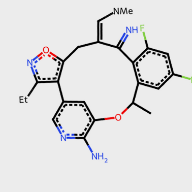 CCc1noc2c1-c1cnc(N)c(c1)OC(C)c1cc(F)cc(F)c1C(=N)/C(=C\NC)C2